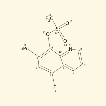 CCCc1cc(F)c2cccnc2c1OS(=O)(=O)C(F)(F)F